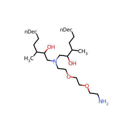 CCCCCCCCCCCCC(C)C(O)CN(CCOCCOCCN)CC(O)C(C)CCCCCCCCCCCC